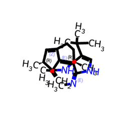 C=C(C)C(/C1=C\[C@@H](C)CN[C@H](C)CC1)=C1/C(C(C)(C)C)=CN/C1=N/C